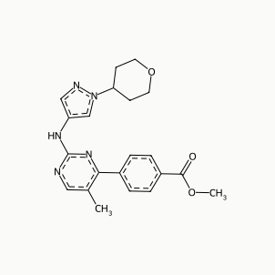 COC(=O)c1ccc(-c2nc(Nc3cnn(C4CCOCC4)c3)ncc2C)cc1